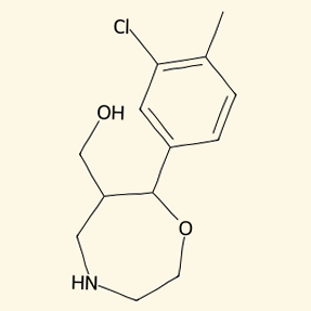 Cc1ccc(C2OCCNCC2CO)cc1Cl